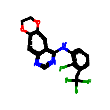 Fc1c(Nc2ncnc3cc4c(cc23)OCCO4)cccc1C(F)(F)F